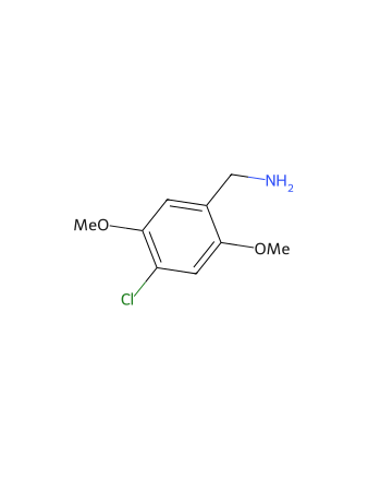 COc1cc(CN)c(OC)cc1Cl